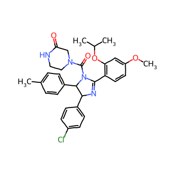 COc1ccc(C2=NC(c3ccc(Cl)cc3)C(c3ccc(C)cc3)N2C(=O)N2CCNC(=O)C2)c(OC(C)C)c1